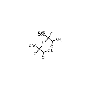 CC(Cl)C(Cl)(Cl)C(=O)[O-].CC(Cl)C(Cl)(Cl)C(=O)[O-].[Ca+2]